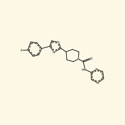 O=C(Nc1cnccn1)N1CCC(c2nc(-c3ccc(F)cc3)cs2)CC1